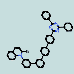 CCC1=C=Cc2ccccc2N1c1cccc(-c2cccc(-c3ccc(-c4ccc(-c5nc(-c6ccccc6)nc(-c6ccccc6)n5)cc4)cc3)c2)c1